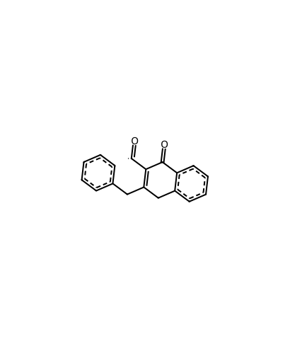 O=[C]C1=C(Cc2ccccc2)Cc2ccccc2C1=O